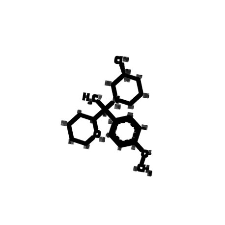 COc1ccc(C(C)(C2CCCCO2)N2CCC[C@H](Cl)C2)cc1